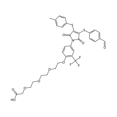 Cc1ccc(SC2=C(Sc3ccc(C=O)cc3)C(=O)N(c3ccc(OCCOCCOCCOCC(=O)O)c(C(F)(F)F)c3)C2=O)cc1